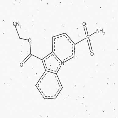 CCOC(=O)c1c2ccccc2n2cc(S(N)(=O)=O)ccc12